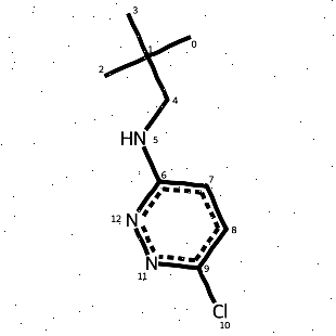 CC(C)(C)CNc1ccc(Cl)nn1